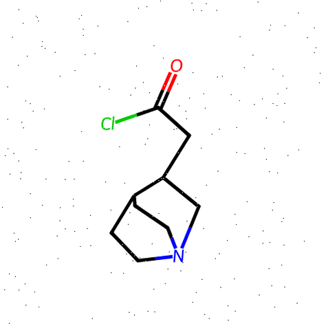 O=C(Cl)CC1CN2CCC1CC2